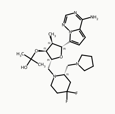 C[C@@H]1[C@H](OC(C)(C)O)[C@@H](CN2CCC(F)(F)C[C@H]2CN2CCCC2)O[C@H]1c1ccc2c(N)ncnn12